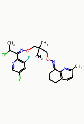 Cc1ccc2c(n1)/C(=N/OCC(C)(C)CO/N=C(\c1ncc(Cl)cc1F)C(C)Cl)CCC2